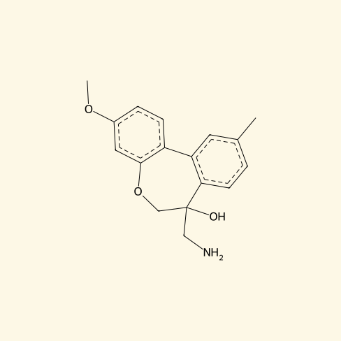 COc1ccc2c(c1)OCC(O)(CN)c1ccc(C)cc1-2